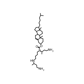 CC(C)CCCCC1CCC2C3CC=C4CC(OC(=O)N(CCCCNC(C)CCN)C(C)CCN)CCC4(C)C3CCC12C